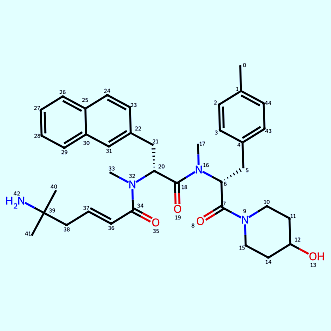 Cc1ccc(C[C@H](C(=O)N2CCC(O)CC2)N(C)C(=O)[C@@H](Cc2ccc3ccccc3c2)N(C)C(=O)/C=C/CC(C)(C)N)cc1